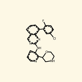 Fc1ccc(Cl)cc1-c1cccc2cnc(Nc3cccnc3C3CNCCO3)nc12